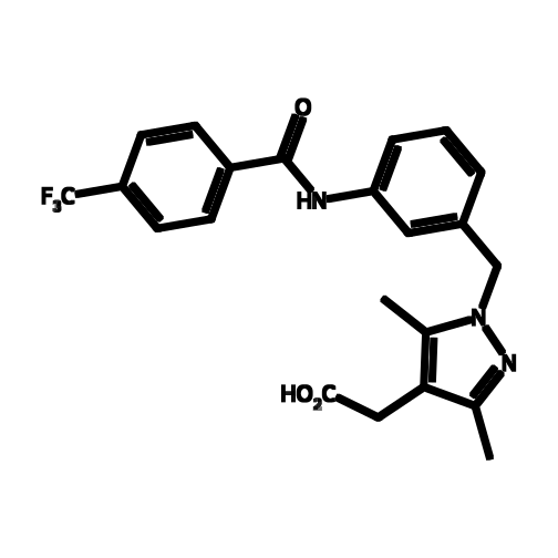 Cc1nn(Cc2cccc(NC(=O)c3ccc(C(F)(F)F)cc3)c2)c(C)c1CC(=O)O